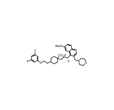 COc1ccc2ncc(CN3CCOCC3)c([C@H](F)CCC3(C(=O)O)CCN(CCOc4cc(F)cc(F)c4)CC3)c2c1